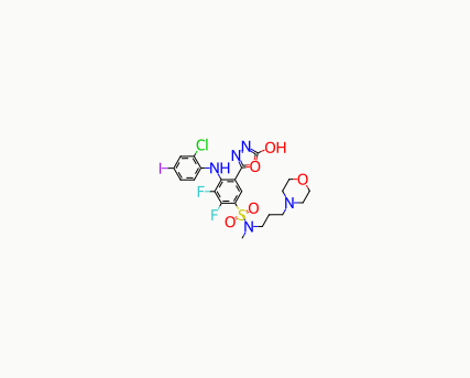 CN(CCCN1CCOCC1)S(=O)(=O)c1cc(-c2nnc(O)o2)c(Nc2ccc(I)cc2Cl)c(F)c1F